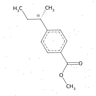 CC[C@H](C)c1ccc(C(=O)OC)cc1